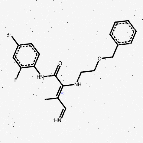 C/C(C=N)=C(/NCCOCc1ccccc1)C(=O)Nc1ccc(Br)cc1F